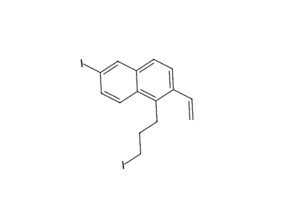 C=Cc1ccc2cc(I)ccc2c1CCCI